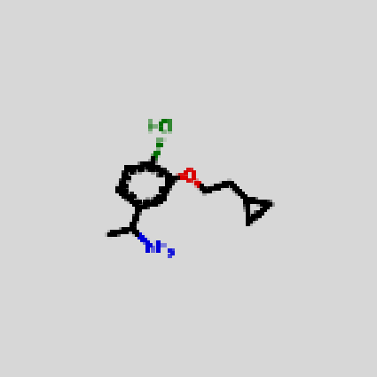 CC(N)c1ccc(F)c(OCCC2CC2)c1.Cl